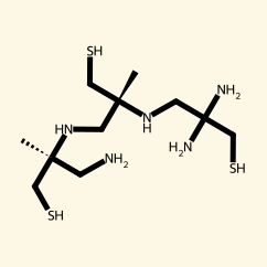 C[C@](CN)(CS)NC[C@](C)(CS)NCC(N)(N)CS